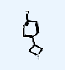 Clc1ccc(C2CNC2)cn1